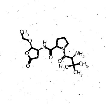 CCO[C@@H]1OC(=O)C[C@@H]1NC(=O)C1CCCN1C(=O)[C@@H](N)C(C)(C)C